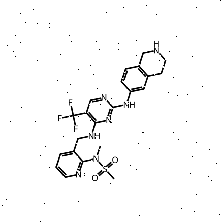 CN(c1ncccc1CNc1nc(Nc2ccc3c(c2)CCNC3)ncc1C(F)(F)F)S(C)(=O)=O